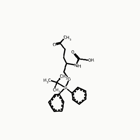 CC(=O)CCC(CO[Si](c1ccccc1)(c1ccccc1)C(C)(C)C)NC(=O)O